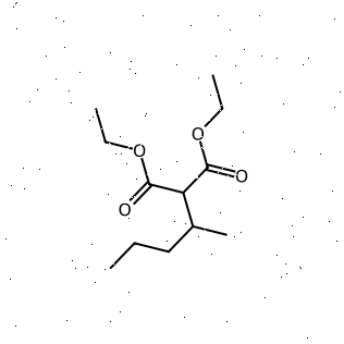 CCCC(C)C(C(=O)OCC)C(=O)OCC